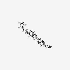 CSc1nn2cc(-c3nc4ccc(OCCN5CCCC5)cc4o3)nc2s1